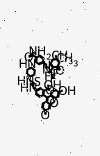 CC1(C)CC(=O)c2c(C(F)(F)F)nn(-c3ccc(C(N)=O)c(N[C@H]4CC[C@H](NC(=S)Nc5ccc(-c6c7ccc(=O)cc-7oc7cc(O)ccc67)c(C(=O)O)c5)CC4)c3)c2C1